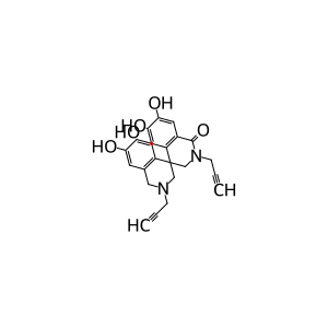 C#CCN1Cc2cc(O)c(O)cc2C2(C1)CN(CC#C)C(=O)c1cc(O)c(O)cc12